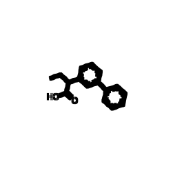 CCC(C(=O)O)c1cccc(-c2ccccc2)c1